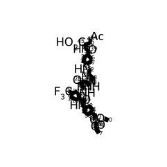 C#COP(=O)(OC#C)OCc1ccc(NC(=O)c2ccc(C(F)(F)F)cc2Nc2nc(=O)c3nc(CNc4ccc(C(=O)N[C@@H](CCC(C)=O)C(=O)O)cc4)cnc3[nH]2)cc1